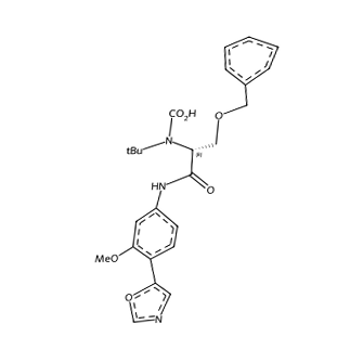 COc1cc(NC(=O)[C@@H](COCc2ccccc2)N(C(=O)O)C(C)(C)C)ccc1-c1cnco1